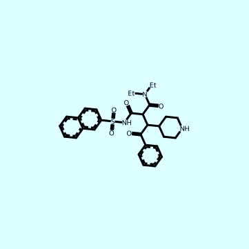 CCN(CC)C(=O)C(C(=O)NS(=O)(=O)c1ccc2ccccc2c1)C(C(=O)c1ccccc1)C1CCNCC1